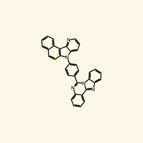 c1ccc2c(c1)ccc1c2c2ncccc2n1-c1ccc(-c2nc3ccccc3c3nc4ccccc4n23)cc1